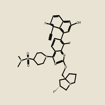 C#Cc1c(F)ccc2cc(O)cc(-c3ccc4c(N5CCC(S(=O)(=O)N(C)C)CC5)nc(OC[C@@]56CCCN5C[C@H](F)C6)nc4c3F)c12